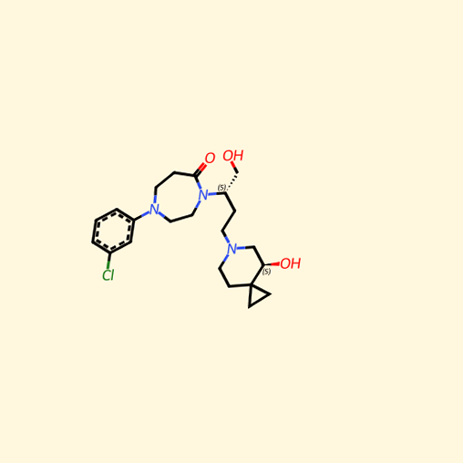 O=C1CCN(c2cccc(Cl)c2)CCN1[C@H](CO)CCN1CCC2(CC2)[C@H](O)C1